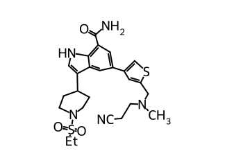 CCS(=O)(=O)N1CCC(c2c[nH]c3c(C(N)=O)cc(-c4csc(CN(C)CCC#N)c4)cc23)CC1